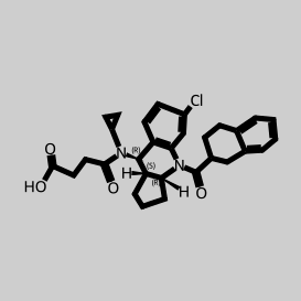 O=C(O)CCC(=O)N(C1CC1)[C@H]1c2ccc(Cl)cc2N(C(=O)C2CCc3ccccc3C2)[C@@H]2CCC[C@@H]21